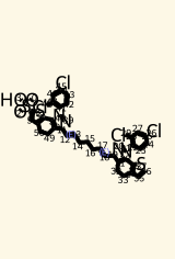 O=S(=O)(O)c1cc2c(s1)-c1c(c(/C=C/CCC/C=C/c3nn(-c4ccc(Cl)cc4Cl)c4c3CCc3ccsc3-4)nn1-c1ccc(Cl)cc1Cl)CC2